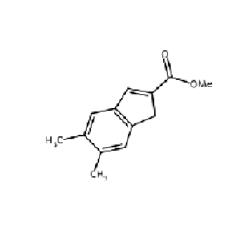 COC(=O)C1=Cc2cc(C)c(C)cc2C1